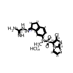 CN(c1ccc2c(c1)/C(=N/NC(=N)N)CC2)S(=O)(=O)c1c(Cl)nc2sccn12.Cl